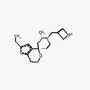 CCc1cc2c(s1)CCO[C@@]21CCN(CC2CNC2)[C@@H](C)C1